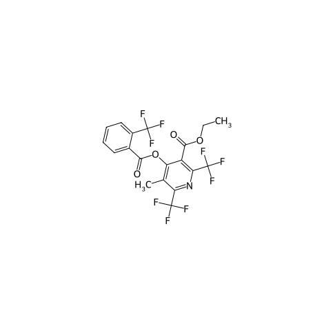 CCOC(=O)c1c(C(F)(F)F)nc(C(F)(F)F)c(C)c1OC(=O)c1ccccc1C(F)(F)F